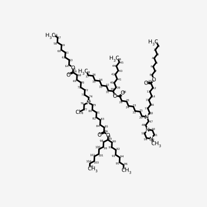 CCCCCCCCCOC(=O)CCCCCCCN(CCCCCCCC(=O)OC(CCCCCCCC)CCCCCCCC)CCN1CCN(C)CC1.CCCCCCCCCOC(=O)CCCCCCCN(CCCl)CCCCCCCC(=O)OC(CCCCCCCC)CCCCCCCC